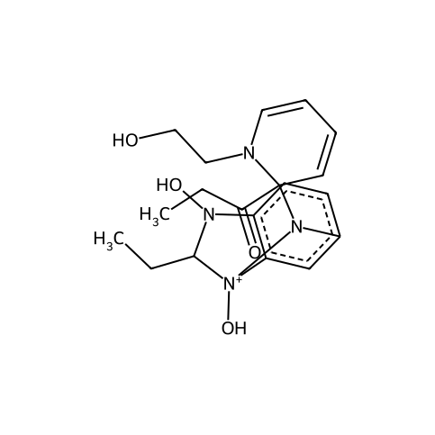 CCC(=O)C1(N2c3ccc4c(c3)[N+]2(O)C(CC)N4O)C=CC=CN1CCO